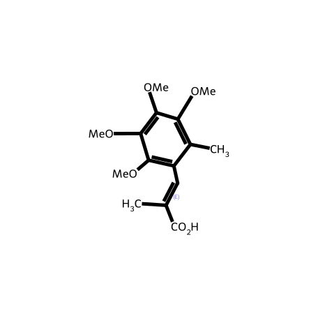 COc1c(C)c(/C=C(\C)C(=O)O)c(OC)c(OC)c1OC